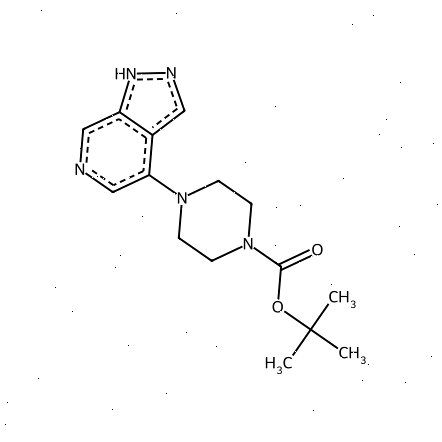 CC(C)(C)OC(=O)N1CCN(c2cncc3[nH]ncc23)CC1